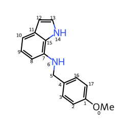 COc1ccc(CNc2cccc3cc[nH]c23)cc1